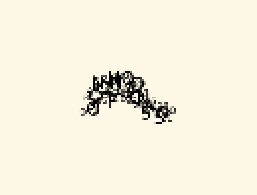 COc1ccc2ncc(N(C)C)c([C@H](F)CCC3(CC(=O)O)CCN(CC(=S)c4cccs4)CC3)c2c1